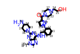 CC(C)n1cnc2c(NCc3ccccc3-n3ccc(C(=O)N4CCN(CCO)CC4)n3)nc(N3CCC(N)CC3)nc21